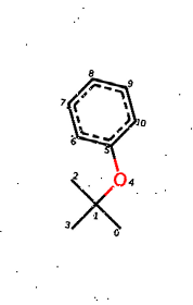 CC(C)(C)Oc1[c][c]ccc1